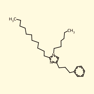 CCCCCCCCCCCc1nc(CCCc2ccccc2)cn1CCCCCC